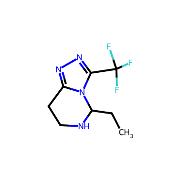 CCC1NCCc2nnc(C(F)(F)F)n21